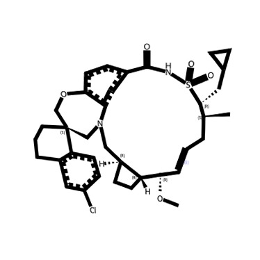 CO[C@H]1/C=C/C[C@H](C)[C@@H](CC2CC2)S(=O)(=O)NC(=O)c2ccc3c(c2)N(C[C@@H]2CC[C@H]21)C[C@@]1(CCCc2cc(Cl)ccc21)CO3